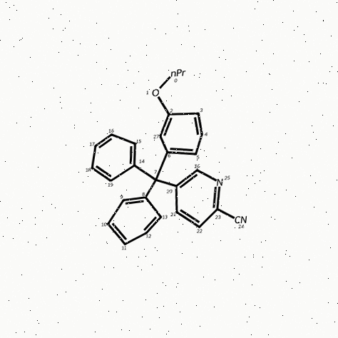 CCCOc1cccc(C(c2ccccc2)(c2ccccc2)c2ccc(C#N)nc2)c1